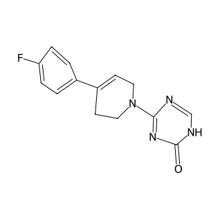 O=c1nc(N2CC=C(c3ccc(F)cc3)CC2)nc[nH]1